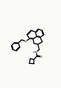 O=C(NCC1Cc2cccc3ccc(OCc4ccccc4)c(c23)C1)C1CCC1